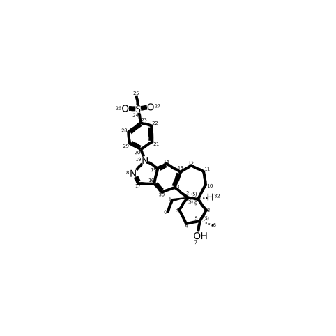 CC[C@]12CC[C@](C)(O)C[C@@H]1CCCc1cc3c(cnn3-c3ccc(S(C)(=O)=O)cc3)cc12